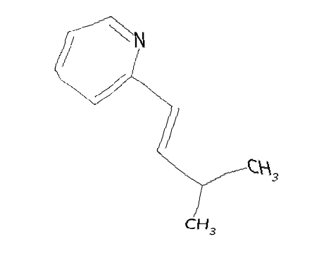 CC(C)/C=C/c1ccccn1